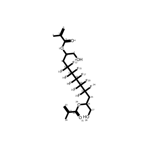 C=C(C)C(=O)OC(CO)CC(F)(F)C(F)(F)C(F)(F)C(F)(F)C(F)(F)CC(CO)OC(=O)C(=C)C